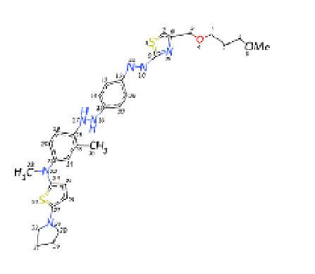 COCCCOCc1csc(/N=N/c2ccc(NNc3ccc(N(C)c4ccc(N5CCCC5)s4)cc3C)cc2)n1